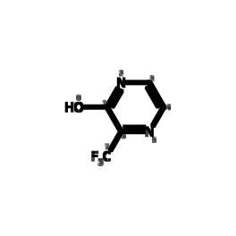 Oc1nccnc1C(F)(F)F